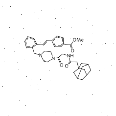 COC(=O)c1ccc(/C=C/c2ccccc2CN2CCN(C(=O)CNC(=O)CC34CC5CC(CC(C5)C3)C4)CC2)cc1